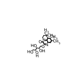 Cc1cc2nc(OC[C@H](O)[C@H](O)[C@H](O)CO)c(=O)n3c2c(c1C)C(C)(C)CC3